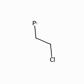 [P]CCCl